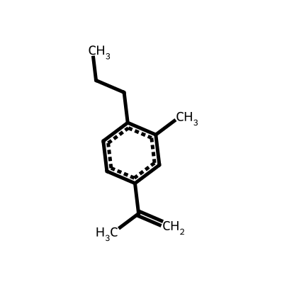 C=C(C)c1ccc(CCC)c(C)c1